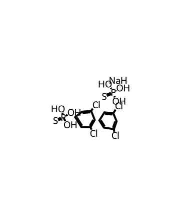 Clc1cccc(Cl)c1.Clc1cccc(Cl)c1.OP(O)(O)=S.OP(O)(O)=S.[NaH]